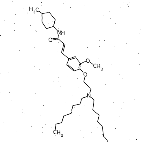 CCCCCCCCN(CCCCCCCC)CCOc1ccc(/C=C/C(=O)NC2CCC(C)CC2)cc1OC